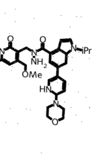 COCc1cc(C)[nH]c(=O)c1CN(N)C(=O)C1=C2C=CN(C(C)C)C2CC(C2=CNC(N3CCOCC3)C=C2)=C1